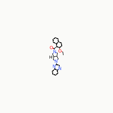 CCOc1ccc2ccccc2c1C(=O)N1CC2CN(c3cnc4ccccc4n3)C[C@H]2C1